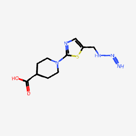 N=NNCc1cnc(N2CCC(C(=O)O)CC2)s1